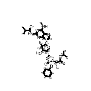 CNc1nc(NC(=O)C(C)C)nc2c1ncn2[C@@H]1O[C@H](COP(=O)(N[C@@H](C)C(=O)OC(C)C)Oc2ccccc2)[C@@H](O)[C@@]1(C)F